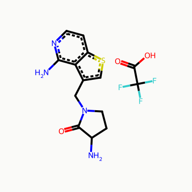 Nc1nccc2scc(CN3CCC(N)C3=O)c12.O=C(O)C(F)(F)F